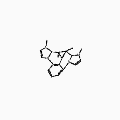 CN1C=CN2c3cccc4c3C3C(C)(C12)C3(C)C1N(C)C=CN41